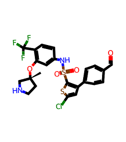 C[C@@]1(Oc2cc(NS(=O)(=O)c3sc(Cl)cc3-c3ccc(C=O)cc3)ccc2C(F)(F)F)CCNC1